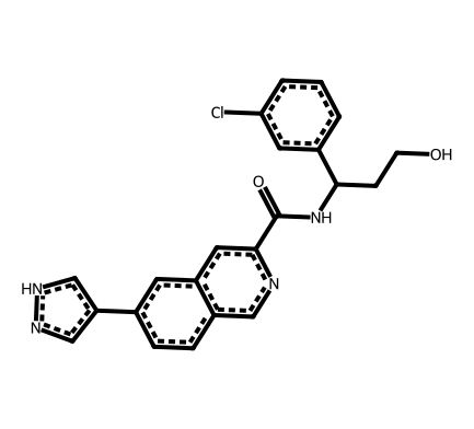 O=C(NC(CCO)c1cccc(Cl)c1)c1cc2cc(-c3cn[nH]c3)ccc2cn1